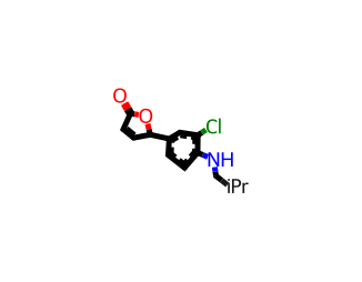 CC(C)CNc1ccc(C2C=CC(=O)O2)cc1Cl